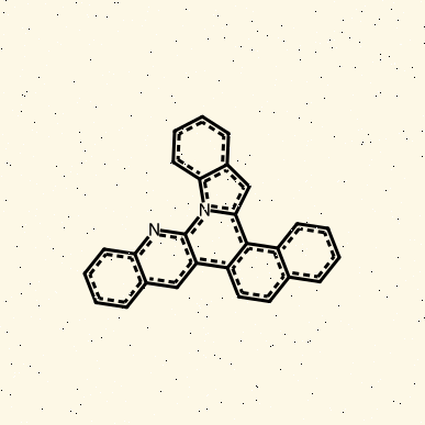 c1ccc2nc3c(cc2c1)c1ccc2ccccc2c1c1cc2ccccc2n13